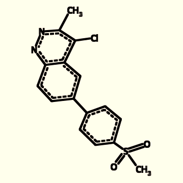 Cc1nnc2ccc(-c3ccc(S(C)(=O)=O)cc3)cc2c1Cl